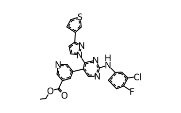 CCOC(=O)c1cncc(-c2cnc(Nc3ccc(F)c(Cl)c3)nc2-n2ccc(-c3ccsc3)n2)c1